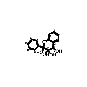 OC1c2ccccc2OC(O)(c2ccccc2)C1(O)O